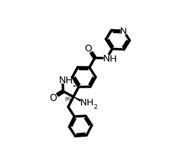 NC(=O)[C@@](N)(Cc1ccccc1)c1ccc(C(=O)Nc2ccncc2)cc1